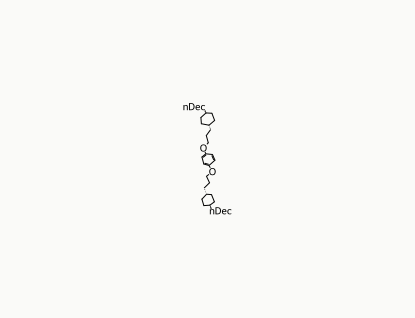 CCCCCCCCCC[C@H]1CC[C@H](CCCOc2ccc(OCCC[C@H]3CC[C@H](CCCCCCCCCC)CC3)cc2)CC1